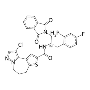 O=C(N[C@@H](Cc1ccc(F)cc1P)CN1C(=O)c2ccccc2C1=O)c1cc2c(s1)CCCn1ncc(Cl)c1-2